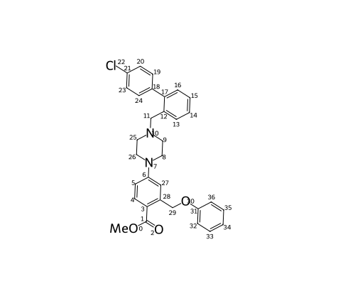 COC(=O)c1ccc(N2CCN(Cc3ccccc3-c3ccc(Cl)cc3)CC2)cc1COc1ccccc1